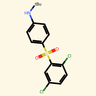 CC(C)(C)Nc1ccc(S(=O)(=O)c2cc(Cl)ccc2Cl)cc1